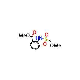 COCS(=O)(=O)Nc1ccccc1C(=O)OC